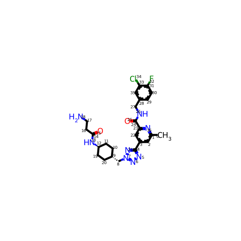 Cc1cc(-c2nnn(C[C@H]3CC[C@H](NC(=O)CCN)CC3)n2)cc(C(=O)NCc2ccc(F)c(Cl)c2)n1